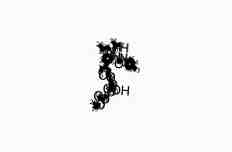 CCC(CC(=O)OCOP(=O)(O)OCOC(=O)OC(C)C)c1ccc(N(CC(C)C)CC(C)C)c(NC(=O)Nc2ccc(C)cc2)c1